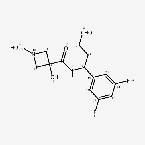 O=CCCC(NC(=O)C1(O)CN(C(=O)O)C1)c1cc(F)cc(F)c1